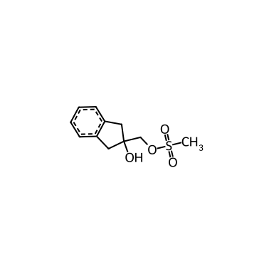 CS(=O)(=O)OCC1(O)Cc2ccccc2C1